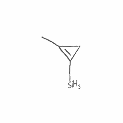 CC1=C([SiH3])C1